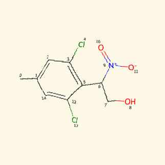 Cc1cc(Cl)c(C(CO)[N+](=O)[O-])c(Cl)c1